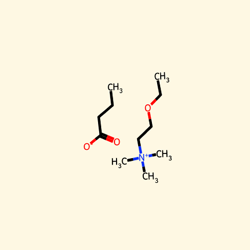 CCCC(=O)[O-].CCOCC[N+](C)(C)C